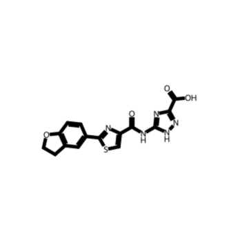 O=C(Nc1nc(C(=O)O)n[nH]1)c1csc(-c2ccc3c(c2)CCO3)n1